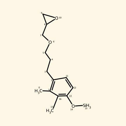 Cc1c(CCCOCC2CO2)ccc(O[SiH3])c1C